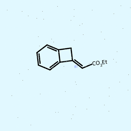 CCOC(=O)/C=C1\Cc2ccccc21